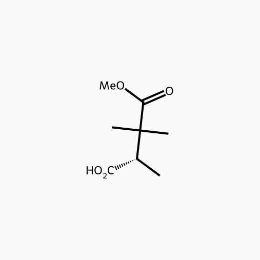 COC(=O)C(C)(C)[C@H](C)C(=O)O